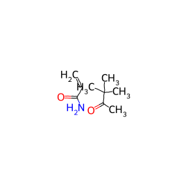 C=CC(N)=O.CC(=O)C(C)(C)C